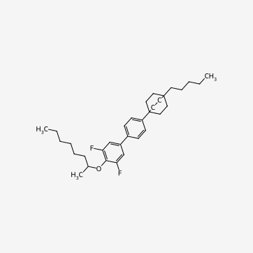 CCCCCCC(C)Oc1c(F)cc(-c2ccc(C34CCC(CCCCC)(CC3)CC4)cc2)cc1F